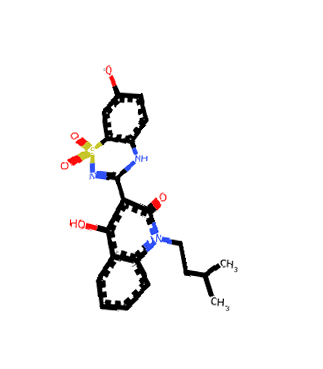 CC(C)CCn1c(=O)c(C2=NS(=O)(=O)c3cc([O])ccc3N2)c(O)c2ccccc21